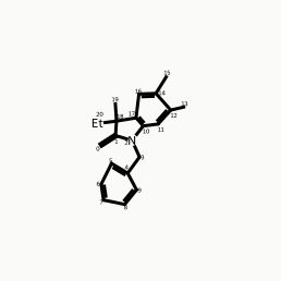 C=C1N(Cc2ccccc2)c2cc(C)c(C)cc2C1(C)CC